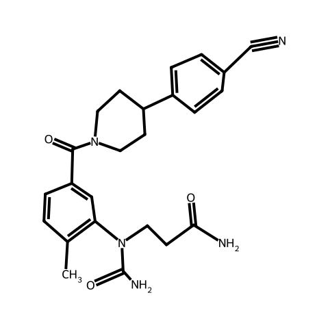 Cc1ccc(C(=O)N2CCC(c3ccc(C#N)cc3)CC2)cc1N(CCC(N)=O)C(N)=O